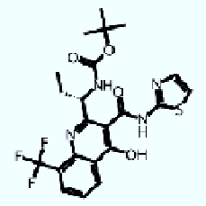 CC[C@H](NC(=O)OC(C)(C)C)c1nc2c(C(F)(F)F)cccc2c(O)c1C(=O)Nc1nccs1